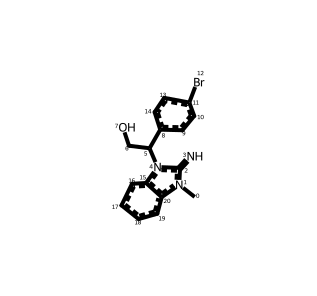 Cn1c(=N)n(C(CO)c2ccc(Br)cc2)c2ccccc21